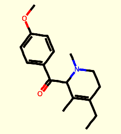 CCC1=C(C)C(C(=O)c2ccc(OC)cc2)N(C)CC1